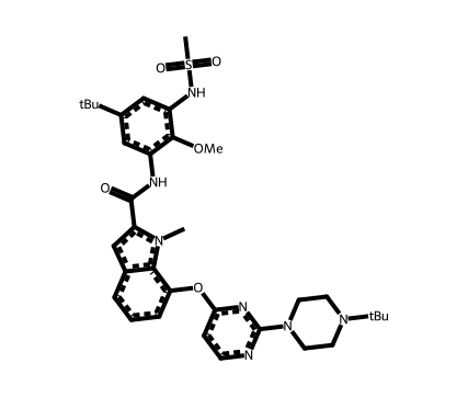 COc1c(NC(=O)c2cc3cccc(Oc4ccnc(N5CCN(C(C)(C)C)CC5)n4)c3n2C)cc(C(C)(C)C)cc1NS(C)(=O)=O